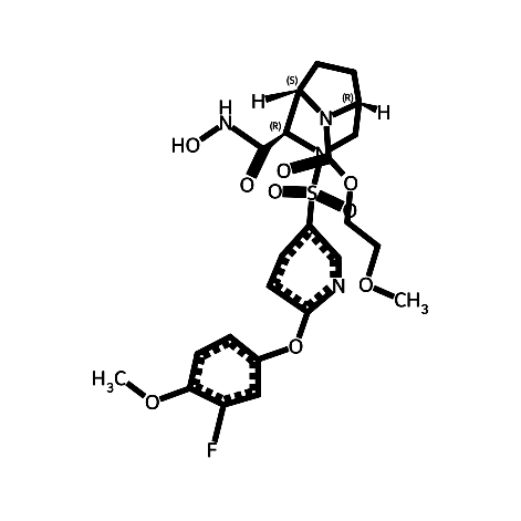 COCCOC(=O)N1[C@@H]2CC[C@H]1[C@H](C(=O)NO)N(S(=O)(=O)c1ccc(Oc3ccc(OC)c(F)c3)nc1)C2